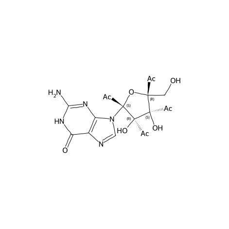 CC(=O)[C@@]1(O)[C@@](O)(C(C)=O)[C@](CO)(C(C)=O)O[C@@]1(C(C)=O)n1cnc2c(=O)[nH]c(N)nc21